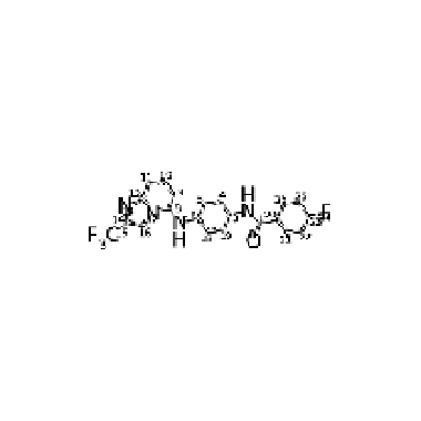 O=C(Nc1ccc(Nc2cccc3nc(C(F)(F)F)cn23)cc1)c1ccc(F)cc1